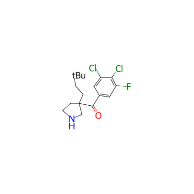 CC(C)(C)CCC1(C(=O)c2cc(F)c(Cl)c(Cl)c2)CCNC1